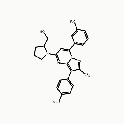 COc1ccc(-c2c(C(F)(F)F)nn3c(-c4cccc(C(F)(F)F)c4)cc(N4CCCC4CO)nc23)cc1